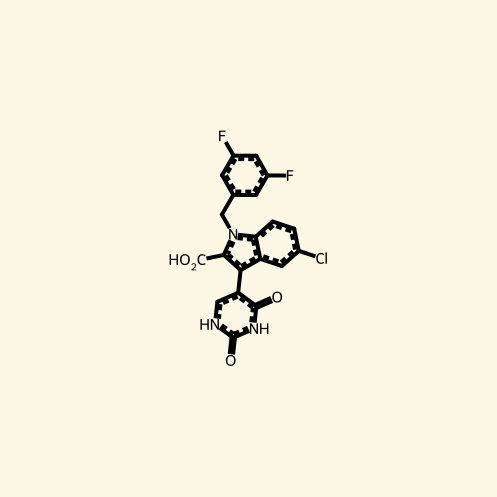 O=C(O)c1c(-c2c[nH]c(=O)[nH]c2=O)c2cc(Cl)ccc2n1Cc1cc(F)cc(F)c1